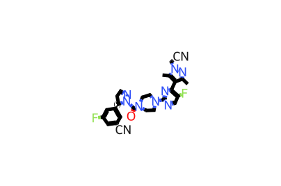 Cc1nn(CC#N)c(C)c1-c1nc(N2CCN(C(=O)N3N=CC[C@H]3c3cc(F)cc(C#N)c3)CC2)ncc1F